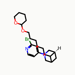 Brc1cc(N2CC3C[C@H](C2)C3CCCCCCOC2CCCCO2)ccn1